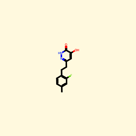 Cc1ccc(CCc2cc(O)c(=O)[nH]n2)c(F)c1